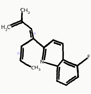 C=C(C)/C=C(\C=C/C)c1ccc2c(F)cccc2n1